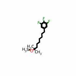 CC(C)(CCCCCCCc1cc(F)c(F)c(F)c1)O[SiH3]